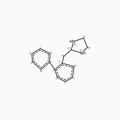 [c]1cccc(-c2ccccc2)c1CC1NCCN1